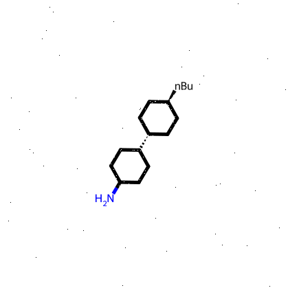 CCCC[C@H]1CC[C@H](C2CCC(N)CC2)CC1